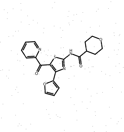 O=C(c1ccccn1)c1sc(NC(=O)C2CCOCC2)nc1-c1ccco1